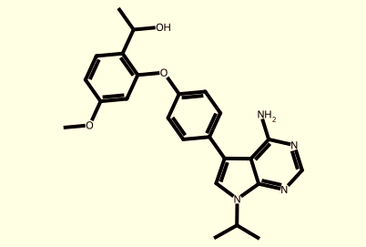 COc1ccc(C(C)O)c(Oc2ccc(-c3cn(C(C)C)c4ncnc(N)c34)cc2)c1